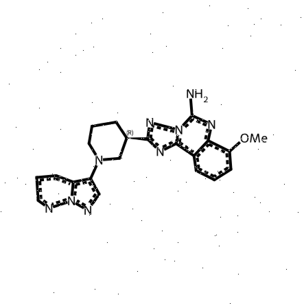 COc1cccc2c1nc(N)n1nc([C@@H]3CCCN(c4cnn5ncccc45)C3)nc21